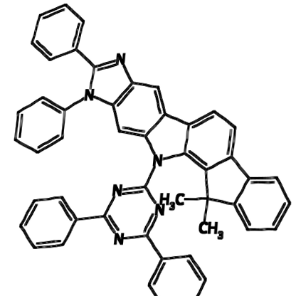 CC1(C)c2ccccc2-c2ccc3c4cc5nc(-c6ccccc6)n(-c6ccccc6)c5cc4n(-c4nc(-c5ccccc5)nc(-c5ccccc5)n4)c3c21